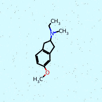 CCN(C)C1Cc2ccc(OC)cc2C1